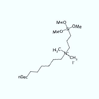 CCCCCCCCCCCCCCCC[N+](C)(C)CCC[Si](OC)(OC)OC.[I-]